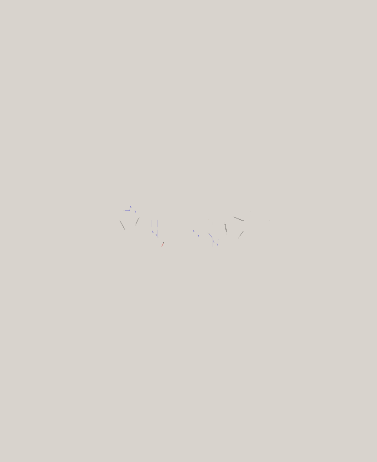 O=C(O)c1ccc2nc(N3CCC(C(=O)NCc4cncc(Cl)c4)CC3)sc2c1